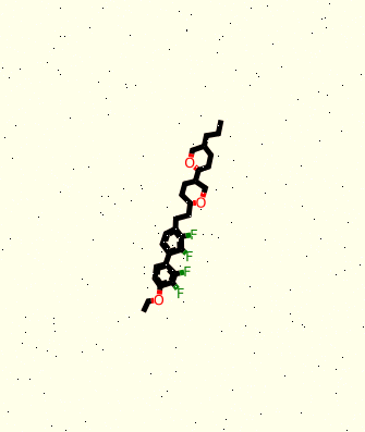 CCCC1CCC(C2CCC(CCc3ccc(-c4ccc(OCC)c(F)c4F)c(F)c3F)OC2)OC1